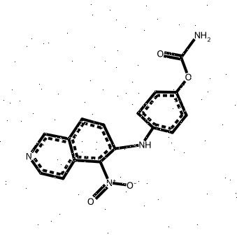 NC(=O)Oc1ccc(Nc2ccc3cnccc3c2[N+](=O)[O-])cc1